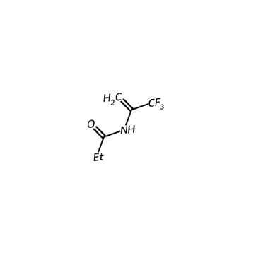 C=C(NC(=O)CC)C(F)(F)F